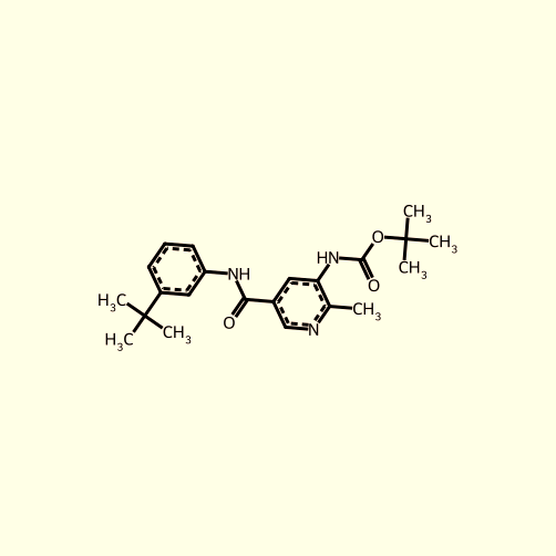 Cc1ncc(C(=O)Nc2cccc(C(C)(C)C)c2)cc1NC(=O)OC(C)(C)C